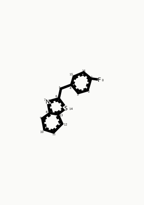 Fc1ccc(Cc2nc3ccccc3s2)cc1